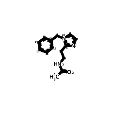 CC(=O)NCCc1nccn1Cc1ccccc1